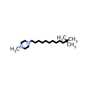 CN1CCN(CCCCCCCCCCC(C)(C)C)CC1